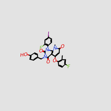 Cc1cc(F)ccc1Oc1cc(=O)n(C)c2c1c(=O)n(Cc1ccc(O)cc1)c(=O)n2-c1ccc(I)cc1F